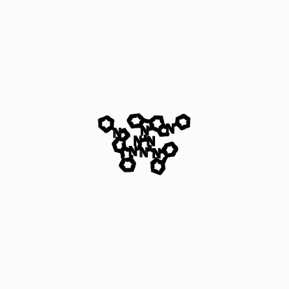 c1ccc(-n2ccc3c2ccc2c4ccccc4n(-c4nc(-n5c6ccccc6c6ccccc65)nc(-n5c6ccccc6c6ccc7c(ccn7-c7ccccc7)c65)n4)c23)cc1